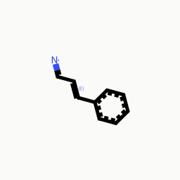 [N]=C/C=C/c1ccccc1